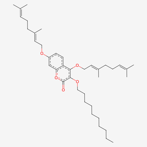 CCCCCCCCCCOc1c(OC/C=C(\C)CCC=C(C)C)c2ccc(OC/C=C(\C)CCC=C(C)C)cc2oc1=O